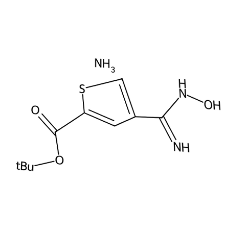 CC(C)(C)OC(=O)c1cc(C(=N)NO)cs1.N